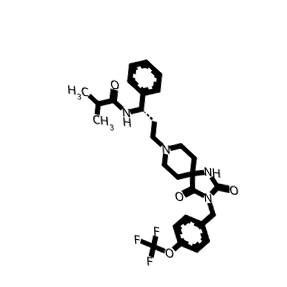 CC(C)C(=O)N[C@@H](CCN1CCC2(CC1)NC(=O)N(Cc1ccc(OC(F)(F)F)cc1)C2=O)c1ccccc1